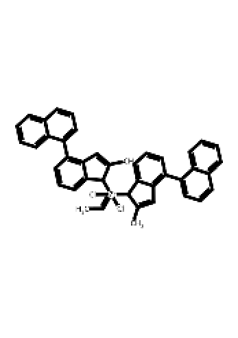 C[CH]=[Zr]([Cl])([Cl])([CH]1C(C)=Cc2c(-c3cccc4ccccc34)cccc21)[CH]1C(C)=Cc2c(-c3cccc4ccccc34)cccc21